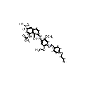 COc1cc(N/N=C2/C=Cc3cc(S(=O)(=O)O)cc(NC(C)=O)c3C2=O)c(OC)cc1/N=N/c1ccc(OCCO)cc1